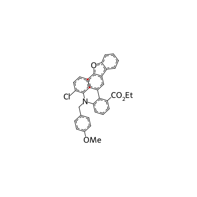 CCOC(=O)c1cccc(N(Cc2ccc(OC)cc2)c2ccccc2Cl)c1-c1ccc2oc3ccccc3c2c1